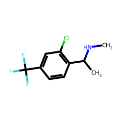 CNC(C)c1ccc(C(F)(F)F)cc1Cl